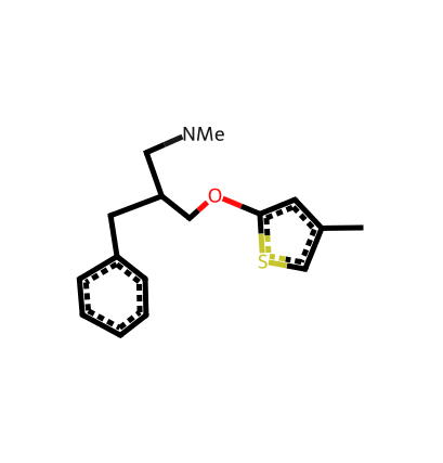 CNCC(COc1cc(C)cs1)Cc1ccccc1